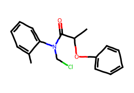 Cc1ccccc1N(CCl)C(=O)C(C)Oc1ccccc1